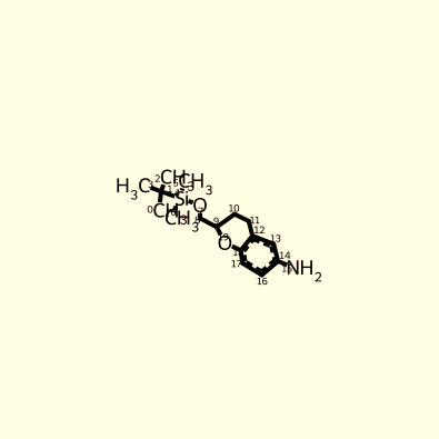 CC(C)(C)[Si](C)(C)OCC1CCc2cc(N)ccc2O1